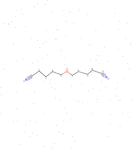 N#CCCCCOCCCCC#N